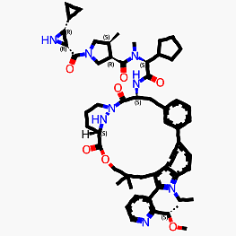 CCn1c(-c2cccnc2[C@H](C)OC)c2c3cc(ccc31)-c1cccc(c1)C[C@H](NC(=O)[C@H](C1CCCC1)N(C)C(=O)[C@H]1CN(C(=O)[C@@H]3N[C@@H]3C3CC3)C[C@H]1C)C(=O)N1CCC[C@H](N1)C(=O)OCC(C)(C)C2